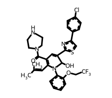 CC(C)=CC1=C(C(=O)N2CCNCC2)C=C(c2nc(-c3ccc(Cl)cc3)cs2)C(O)N1c1ccccc1OCC(F)(F)F